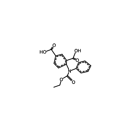 CCOC(=O)N(c1ccccc1)c1ccc(C(=O)O)cc1C(=O)O